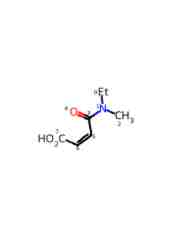 CCN(C)C(=O)/C=C\C(=O)O